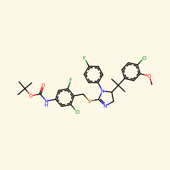 COc1cc(C(C)(C)C2CN=C(SCc3c(F)cc(NC(=O)OC(C)(C)C)cc3Cl)N2c2ccc(F)cc2)ccc1Cl